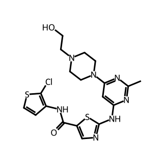 Cc1nc(Nc2ncc(C(=O)Nc3ccsc3Cl)s2)cc(N2CCN(CCO)CC2)n1